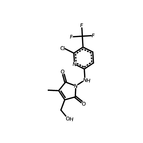 CC1=C(CO)C(=O)N(Nc2ccc(C(F)(F)F)c(Cl)n2)C1=O